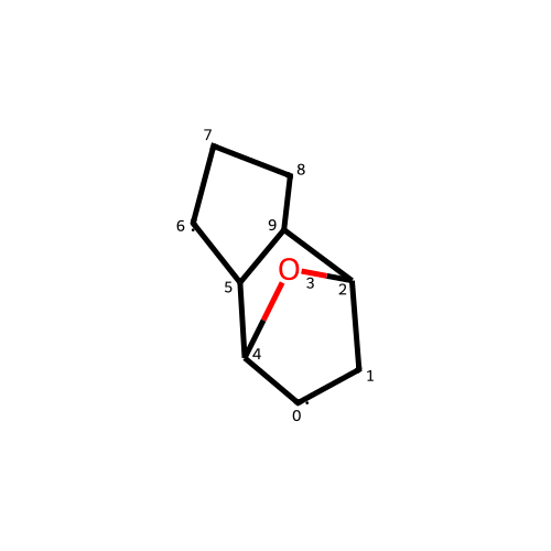 [CH]1CC2OC1C1[CH]CCC21